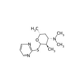 C[C@@H]1C[C@H](N(C)C)[C@@H](C)C(Sc2ncccn2)O1